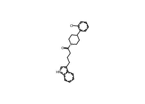 O=C(CCCc1c[nH]c2ccccc12)N1CCC(c2ccccc2Cl)CC1